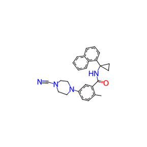 Cc1ccc(N2CCN(C#N)CC2)cc1C(=O)NC1(c2cccc3ccccc23)CC1